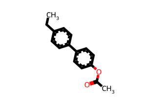 CCc1ccc(-c2ccc(OC(C)=O)cc2)cc1